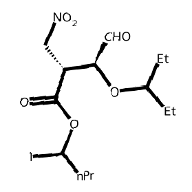 CCCC(I)OC(=O)[C@H](C[N+](=O)[O-])[C@@H](C=O)OC(CC)CC